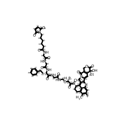 CC[C@@]1(O)C(=O)OCc2c1cc1n(c2=O)Cc2c-1nc1cc(F)c(C)c3c1c2[C@@H](N(C)C(=O)[C@@H](P)OCNC(=O)CNC(=O)[C@H](CCc1ccccc1)NC(=O)CNC(=O)CNC(=O)CCCCCN1C(=O)C=CC1=O)CC3